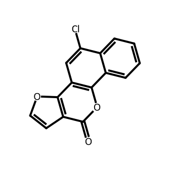 O=c1oc2c3ccccc3c(Cl)cc2c2occc12